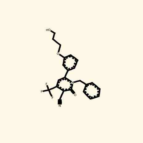 N#Cc1c(C(F)(F)F)cc(-c2cccc(OCCCO)c2)n(Cc2ccccc2)c1=O